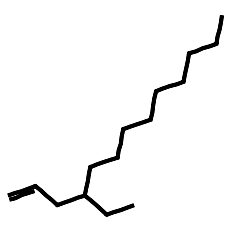 C=CCC(CC)CCCCCCCCC